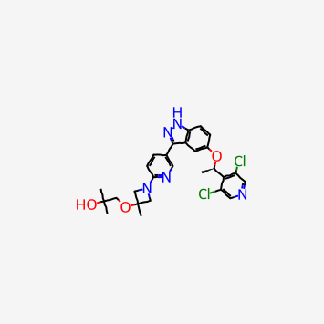 C[C@@H](Oc1ccc2[nH]nc(-c3ccc(N4CC(C)(OCC(C)(C)O)C4)nc3)c2c1)c1c(Cl)cncc1Cl